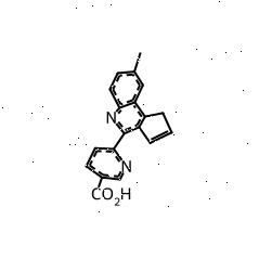 Cc1ccc2nc(-c3ccc(C(=O)O)cn3)c3c(c2c1)CC=C3